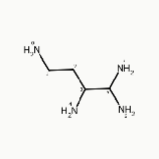 NCCC(N)C(N)N